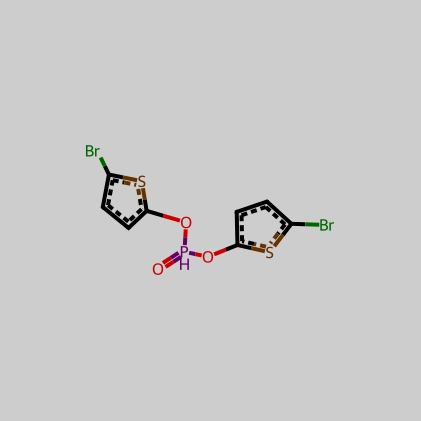 O=[PH](Oc1ccc(Br)s1)Oc1ccc(Br)s1